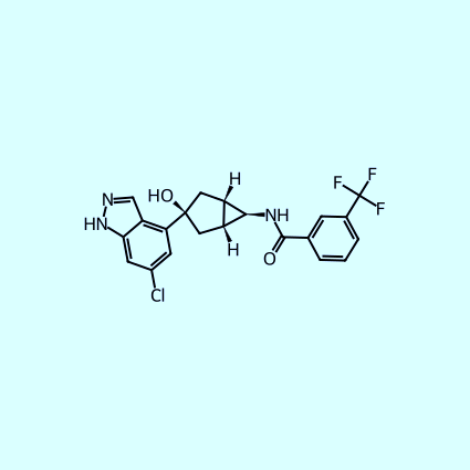 O=C(N[C@H]1[C@@H]2C[C@](O)(c3cc(Cl)cc4[nH]ncc34)C[C@@H]21)c1cccc(C(F)(F)F)c1